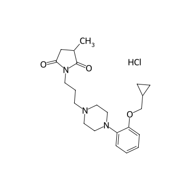 CC1CC(=O)N(CCCN2CCN(c3ccccc3OCC3CC3)CC2)C1=O.Cl